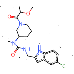 COC(C)C(=O)N1CCC[C@@H](N(C)C(=O)NCc2cc3cc(Cl)ccc3[nH]2)C1